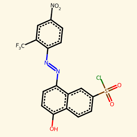 O=[N+]([O-])c1ccc(N=Nc2ccc(O)c3ccc(S(=O)(=O)Cl)cc23)c(C(F)(F)F)c1